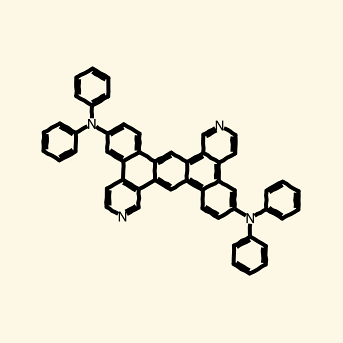 c1ccc(N(c2ccccc2)c2ccc3c(c2)c2ccncc2c2cc4c5ccc(N(c6ccccc6)c6ccccc6)cc5c5ccncc5c4cc32)cc1